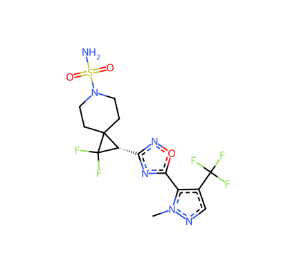 Cn1ncc(C(F)(F)F)c1-c1nc([C@@H]2C(F)(F)C23CCN(S(N)(=O)=O)CC3)no1